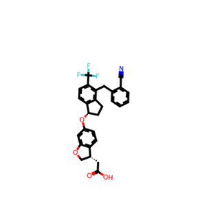 N#Cc1ccccc1Cc1c(C(F)(F)F)ccc2c1CC[C@H]2Oc1ccc2c(c1)OC[C@H]2CC(=O)O